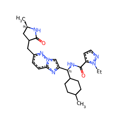 CCn1nccc1C(=O)N[C@H](c1cn2nc(CC3C[C@@H](C)NC3=O)ccc2n1)C1CCC(C)CC1